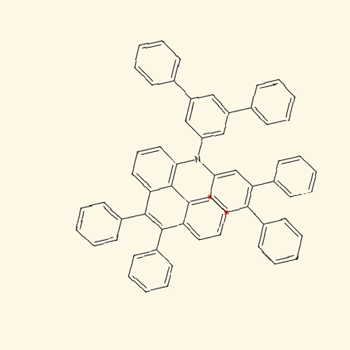 c1ccc(-c2cc(-c3ccccc3)cc(N(c3ccc(-c4ccccc4)c(-c4ccccc4)c3)c3cccc4c(-c5ccccc5)c(-c5ccccc5)c5ccccc5c34)c2)cc1